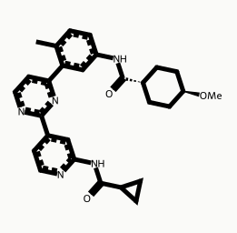 CO[C@H]1CC[C@H](C(=O)Nc2ccc(C)c(-c3ccnc(-c4ccnc(NC(=O)C5CC5)c4)n3)c2)CC1